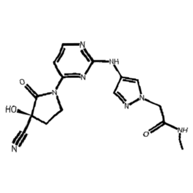 CNC(=O)Cn1cc(Nc2nccc(N3CC[C@](O)(C#N)C3=O)n2)cn1